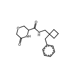 O=C1COCC(C(=O)NCC2(Cc3ccccc3)CCC2)N1